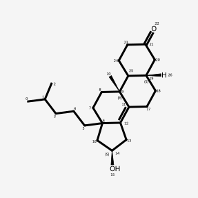 CC(C)CCCC12CC[C@@]3(C)C(=C1C[C@@H](O)C2)CC[C@H]1CC(=O)CCC13